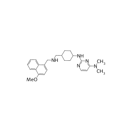 COc1ccc(CNCC2CCC(Nc3nccc(N(C)C)n3)CC2)c2ccccc12